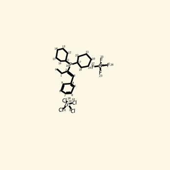 CCC(=Cc1ccccc1)P(C1CCCCC1)C1CCCCC1.F[B-](F)(F)F.[Cl][Zr]([Cl])([Cl])[Cl]